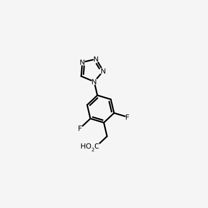 O=C(O)Cc1c(F)cc(-n2cnnn2)cc1F